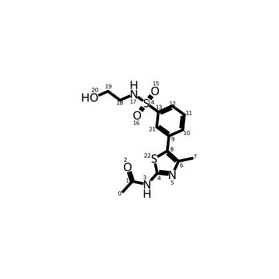 CC(=O)Nc1nc(C)c(-c2cccc(S(=O)(=O)NCCO)c2)s1